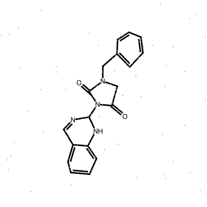 O=C1CN(Cc2ccccc2)C(=O)N1C1N=Cc2ccccc2N1